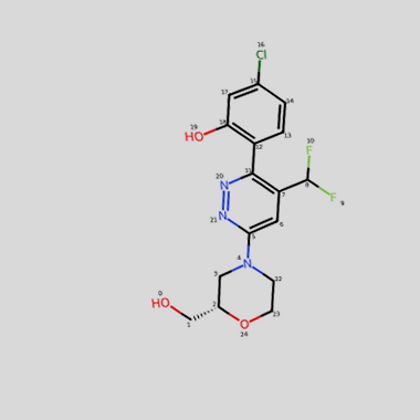 OC[C@@H]1CN(c2cc(C(F)F)c(-c3ccc(Cl)cc3O)nn2)CCO1